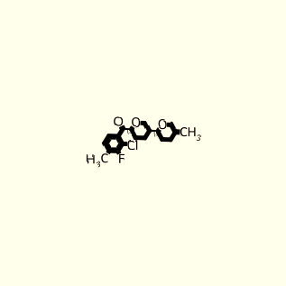 Cc1ccc(C(=O)[C@@H]2CCC([C@@H]3CCC(C)CO3)CO2)c(Cl)c1F